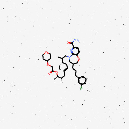 CC[C@@H](C/C=C/C[C@H](C)[C@@H](C)OC(=O)COC1CCOCC1)C(C)CN1CC(CCCc2cccc(Cl)c2)COc2ccc(C(N)=O)nc21